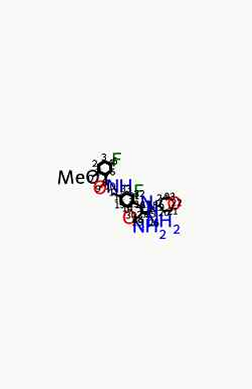 COc1ccc(F)cc1C(=O)NCc1ccc(-c2nn(C3CCOCC3)c(N)c2C(N)=O)c(F)c1